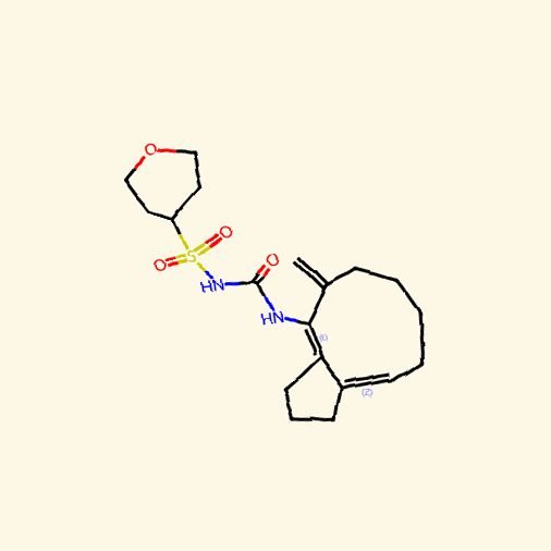 C=C1CCCC/C=C2/CCC/C2=C/1NC(=O)NS(=O)(=O)C1CCOCC1